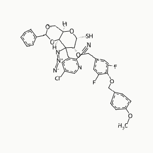 COc1ccc(COc2c(F)cc(CO[C@H]3[C@@H](S)O[C@@H]4COC(c5ccccc5)O[C@@H]4C3(N=[N+]=[N-])c3cc(Cl)cnc3C#N)cc2F)cc1